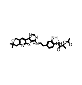 CC(=O)OC(C)C(=O)Nc1ccc(CCNc2ncnc3c2sc2nc4c(cc23)COC(C)(C)C4)cc1N